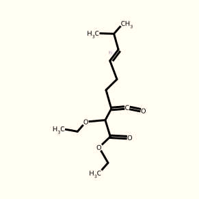 CCOC(=O)C(OCC)C(=C=O)CC/C=C/C(C)C